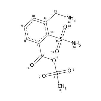 CS(=O)(=O)OC(=O)c1cccc(CN)c1S(N)(=O)=O